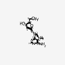 C[n+]1cn([C@H]2C[C@H](O)[C@@H](CO)O2)c2ncnc(N)c21